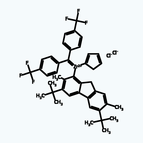 Cc1cc2c(cc1C(C)(C)C)-c1cc(C(C)(C)C)c(C)[c]([Zr+2]([C]3=CC=CC3)=[C](c3ccc(C(F)(F)F)cc3)c3ccc(C(F)(F)F)cc3)c1C2.[Cl-].[Cl-]